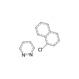 Clc1cccc2ccccc12.c1ccnnc1